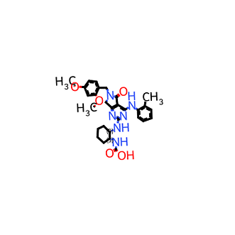 COc1ccc(CN2Cc3nc(N[C@@H]4CCCC[C@@H]4NC(=O)O)nc(Nc4ccccc4C)c3C2=O)c(OC)c1